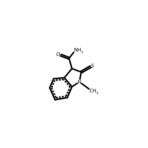 CN1C(=S)C(C(N)=O)c2ccccc21